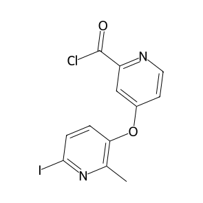 Cc1nc(I)ccc1Oc1ccnc(C(=O)Cl)c1